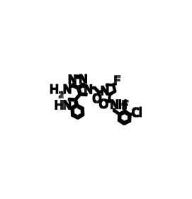 Nc1ncnc2c1c(-c1c[nH]c3ccccc13)cn2CC(=O)N1CC(F)CC1C(=O)NCc1cccc(Cl)c1F